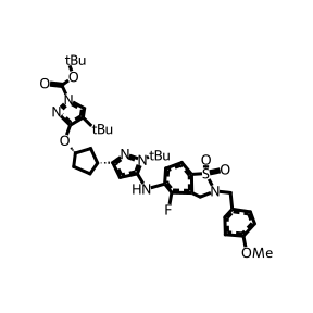 COc1ccc(CN2Cc3c(ccc(Nc4cc([C@@H]5CC[C@H](Oc6nn(C(=O)OC(C)(C)C)cc6C(C)(C)C)C5)nn4C(C)(C)C)c3F)S2(=O)=O)cc1